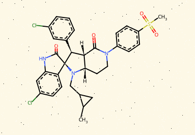 CC1CC1CN1[C@H]2CCN(c3ccc(S(C)(=O)=O)cc3)C(=O)[C@H]2[C@H](c2cccc(Cl)c2)[C@]12C(=O)Nc1cc(Cl)ccc12